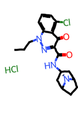 CCCn1nc(C(=O)NC2CC3CCC(C2)N3C)c(=O)c2c(Cl)cccc21.Cl